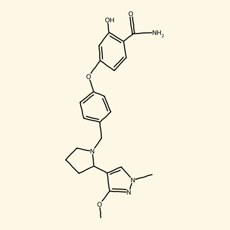 COc1nn(C)cc1C1CCCN1Cc1ccc(Oc2ccc(C(N)=O)c(O)c2)cc1